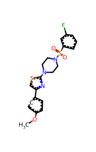 COc1ccc(-c2csc(N3CCN(S(=O)(=O)c4cccc(F)c4)CC3)n2)cc1